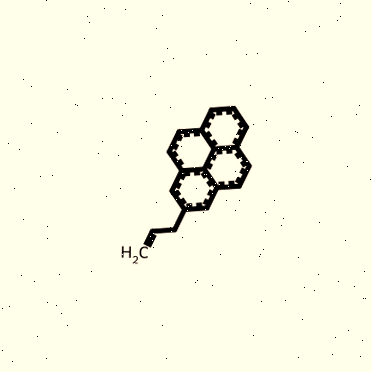 C=CCc1cc2ccc3cccc4ccc(c1)c2c34